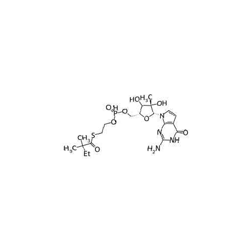 CCC(C)(C)C(=O)SCCO[PH](=O)OC[C@H]1O[C@@H](n2ccc3c(=O)[nH]c(N)nc32)[C@@](C)(O)C1O